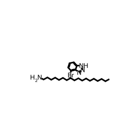 Brc1cccc2[nH]nnc12.CCCCCCCCCCCCCCCCCCN